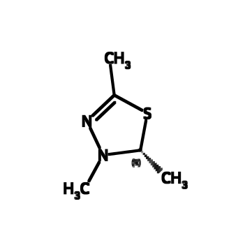 CC1=NN(C)[C@@H](C)S1